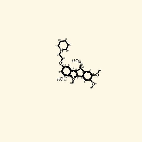 COc1cc2c(cc1OC)-c1c(c3cc(OCCN4CCCCC4)ccc3n1C)C2=NO.Cl